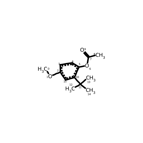 COc1ccc(OC(C)=O)c(C(C)(C)C)c1